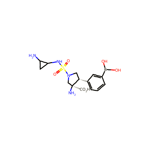 NC1CC1NS(=O)(=O)N1C[C@H](c2cccc(B(O)O)c2)[C@](N)(C(=O)O)C1